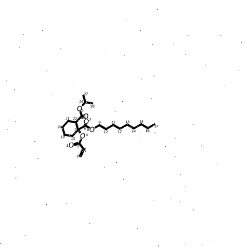 C=CC(=O)OC1(C(=O)OCCCCCCCCC)CCCCC1C(=O)OC(C)C